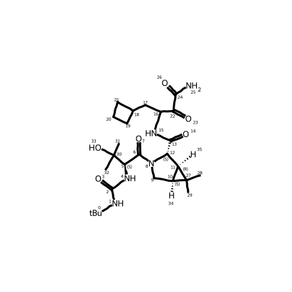 CC(C)(C)NC(=O)N[C@H](C(=O)N1C[C@H]2[C@@H]([C@H]1C(=O)NC(CC1CCC1)C(=O)C(N)=O)C2(C)C)C(C)(C)O